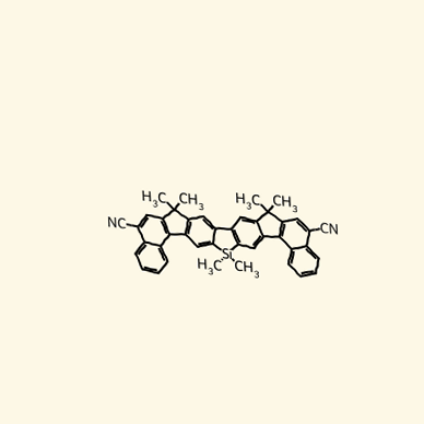 CC1(C)c2cc3c(cc2-c2c1cc(C#N)c1ccccc21)[Si](C)(C)c1cc2c(cc1-3)C(C)(C)c1cc(C#N)c3ccccc3c1-2